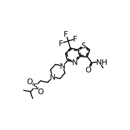 CNC(=O)c1csc2c(C(F)(F)F)cc(N3CCN(CCS(=O)(=O)C(C)C)CC3)nc12